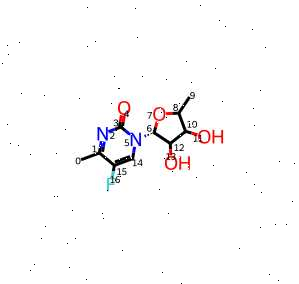 Cc1nc(=O)n([C@@H]2OC(C)C(O)C2O)cc1F